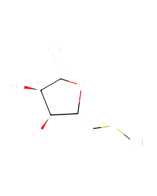 CSC[C@H]1O[C@@H](O)[C@H](O)[C@@H]1O